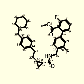 COC(=O)c1c(F)cccc1-c1ccc(CNC(=O)[C@@H]2C[C@H]2CCc2ccc(CN3CCCCC3)cc2)c(F)c1